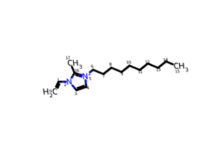 C=Cn1cc[n+](CCCCCCCCCC)c1C